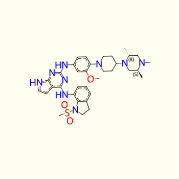 COc1cc(Nc2nc(Nc3cccc4c3N(S(C)(=O)=O)CC4)c3cc[nH]c3n2)ccc1N1CCC(N2C[C@H](C)N(C)C[C@H]2C)CC1